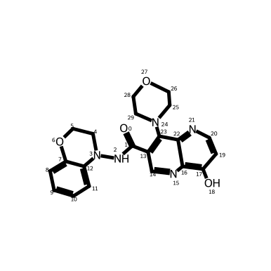 O=C(NN1CCOc2ccccc21)c1cnc2c(O)ccnc2c1N1CCOCC1